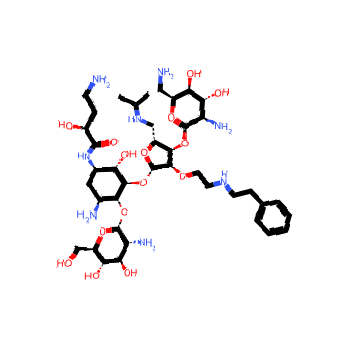 CC(C)NC[C@H]1O[C@@H](O[C@@H]2[C@@H](O)[C@H](NC(=O)[C@@H](O)CCN)C[C@H](N)[C@H]2O[C@H]2O[C@H](CO)[C@@H](O)[C@H](O)[C@H]2N)[C@H](OCCNCCc2ccccc2)[C@@H]1O[C@H]1O[C@@H](CN)[C@@H](O)[C@H](O)[C@H]1N